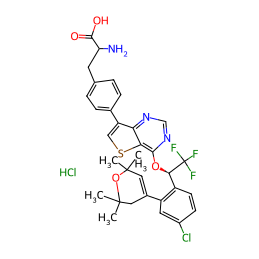 CC1(C)C=C(c2cc(Cl)ccc2[C@@H](Oc2ncnc3c(-c4ccc(CC(N)C(=O)O)cc4)csc23)C(F)(F)F)CC(C)(C)O1.Cl